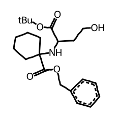 CC(C)(C)OC(=O)C(CCO)NC1(C(=O)OCc2ccccc2)CCCCC1